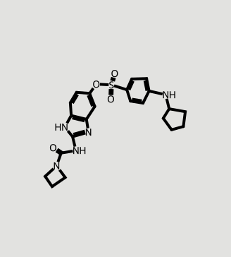 O=C(Nc1nc2cc(OS(=O)(=O)c3ccc(NC4CCCC4)cc3)ccc2[nH]1)N1CCC1